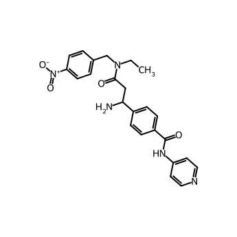 CCN(Cc1ccc([N+](=O)[O-])cc1)C(=O)CC(N)c1ccc(C(=O)Nc2ccncc2)cc1